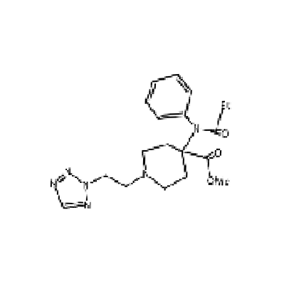 CCC(=O)N(c1ccccc1)C1(C(=O)OC)CCN(CCn2ncnn2)CC1